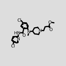 COC(=O)CCN1CCC(N(C)c2ccc(Cl)cc2C(=O)Nc2ccc(Cl)cn2)CC1